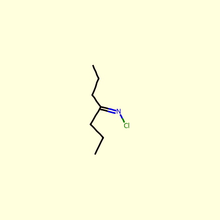 CCCC(CCC)=NCl